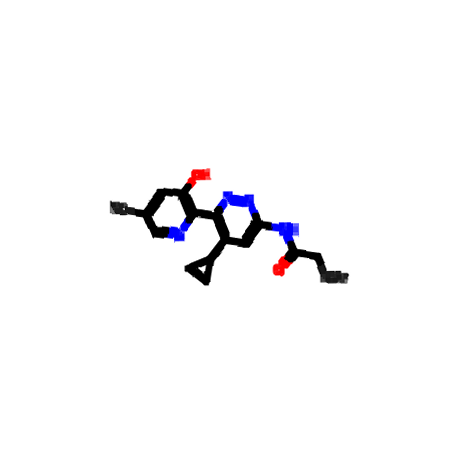 CNCC(=O)Nc1cc(C2CC2)c(-c2ncc(C#N)cc2O)nn1